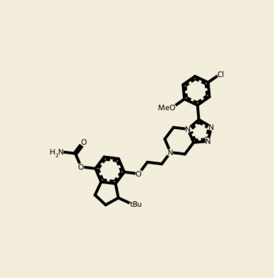 COc1ccc(Cl)cc1-c1nnc2n1CCN(CCOc1ccc(OC(N)=O)c3c1C(C(C)(C)C)CC3)C2